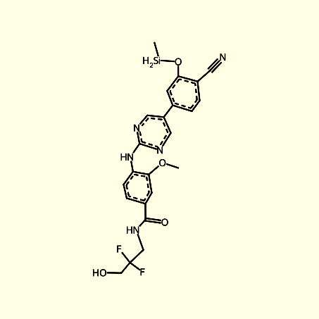 COc1cc(C(=O)NCC(F)(F)CO)ccc1Nc1ncc(-c2ccc(C#N)c(O[SiH2]C)c2)cn1